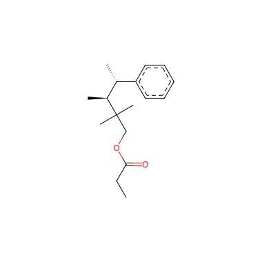 CCC(=O)OCC(C)(C)[C@@H](C)[C@H](C)c1ccccc1